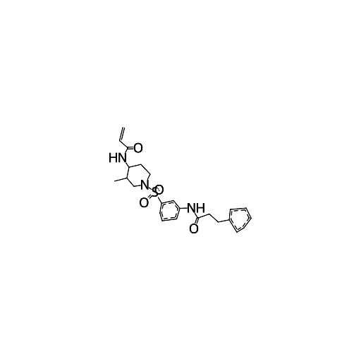 C=CC(=O)NC1CCN(S(=O)(=O)c2cccc(NC(=O)CCc3ccccc3)c2)CC1C